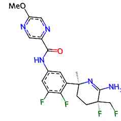 COc1cnc(C(=O)Nc2cc(F)c(F)c([C@]3(C)CC[C@](F)(CF)C(N)=N3)c2)cn1